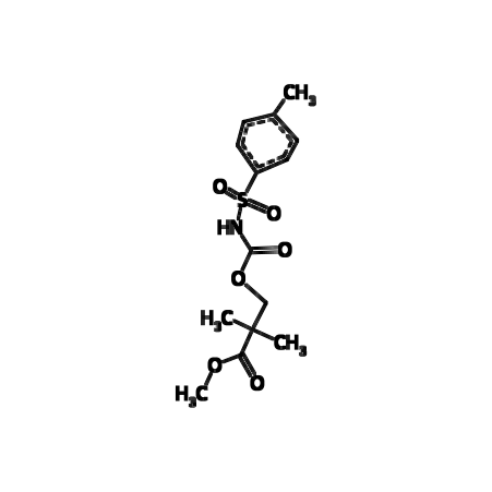 COC(=O)C(C)(C)COC(=O)NS(=O)(=O)c1ccc(C)cc1